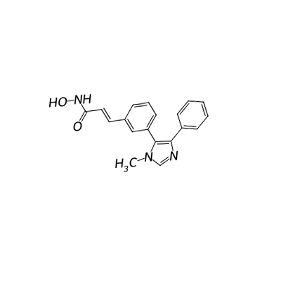 Cn1cnc(-c2ccccc2)c1-c1cccc(C=CC(=O)NO)c1